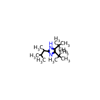 CC(C)C(C)c1nc(C(C)(C)C)c(C(C)(C)C)[nH]1